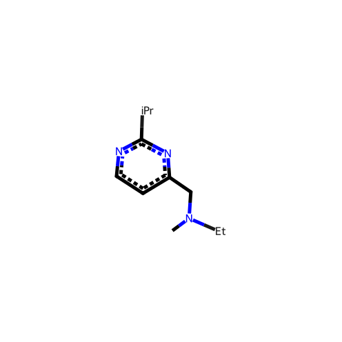 CCN(C)Cc1ccnc(C(C)C)n1